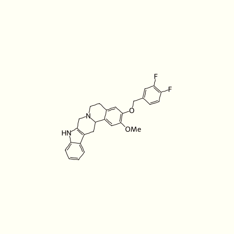 COc1cc2c(cc1OCc1ccc(F)c(F)c1)CCN1Cc3[nH]c4ccccc4c3CC21